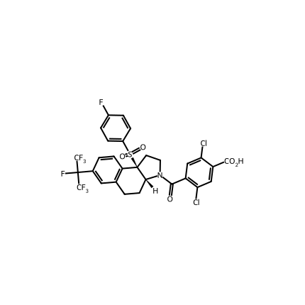 O=C(O)c1cc(Cl)c(C(=O)N2CC[C@@]3(S(=O)(=O)c4ccc(F)cc4)c4ccc(C(F)(C(F)(F)F)C(F)(F)F)cc4CC[C@@H]23)cc1Cl